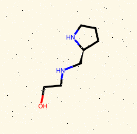 OCCNC[C@@H]1CCCN1